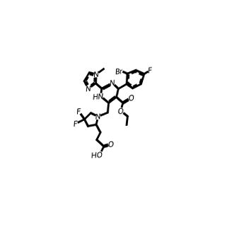 CCOC(=O)C1=C(CN2CC(F)(F)CC2CCC(=O)O)NC(c2nccn2C)=NC1c1ccc(F)cc1Br